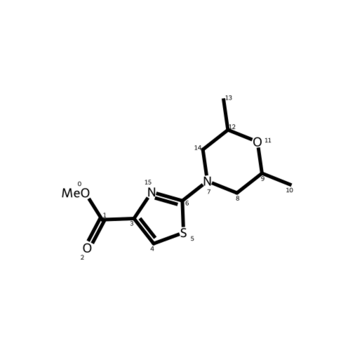 COC(=O)c1csc(N2CC(C)OC(C)C2)n1